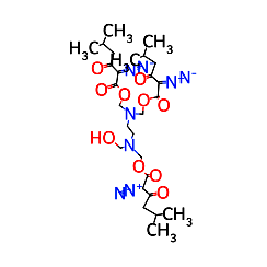 CC(C)CC(=O)C(=[N+]=[N-])C(=O)OCN(CO)CCN(COC(=O)C(=[N+]=[N-])C(=O)CC(C)C)COC(=O)C(=[N+]=[N-])C(=O)CC(C)C